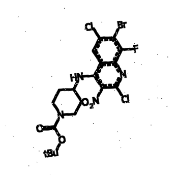 CC(C)(C)OC(=O)N1CCC(Nc2c([N+](=O)[O-])c(Cl)nc3c(F)c(Br)c(Cl)cc23)CC1